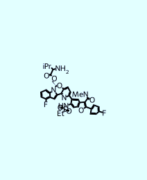 CCS(=O)(=O)Nc1cc2oc(-c3ccc(F)cc3)c(C(=O)NC)c2cc1-c1ccc2c(n1)-c1cc3c(F)cccc3n1[C@H](COC(=O)C(N)C(C)C)O2